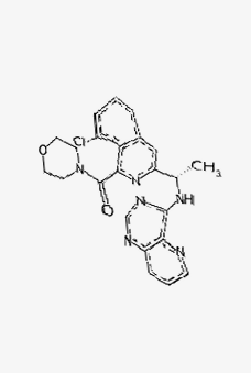 C[C@H](Nc1ncnc2cccnc12)c1cc2cccc(Cl)c2c(C(=O)N2CCOCC2)n1